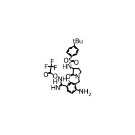 CC(C)(C)c1ccc(S(=O)(=O)NC2CCN(Cc3cc(C(=N)N)ccc3N)C2=O)cc1.O=C(O)C(F)(F)F